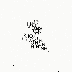 CC1(C)[C@]2(O)[C@H](n3cnc4c(N)ncnc43)O[C@H](COS(=O)(=O)NC(=O)c3ccccc3N)[C@]12O.CCN(CC)CC